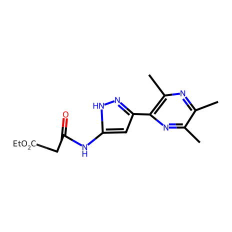 CCOC(=O)CC(=O)Nc1cc(-c2nc(C)c(C)nc2C)n[nH]1